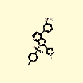 CC(=O)Nc1cccc(-c2ccnc3c2cc(-c2cn[nH]c2)n3S(=O)(=O)c2ccc(C)cc2)c1